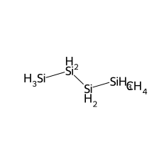 C.[SiH3][SiH2][SiH2][SiH3]